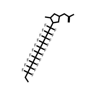 C=C(C)CC1CC(C)C(C(F)(F)C(F)(F)C(F)(F)C(F)(F)C(F)(F)C(F)(F)C(F)(F)C(F)(F)C(F)(F)C(F)(F)CC)C1